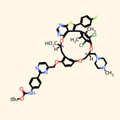 Cc1c(Cl)c2c(Cl)c(C)c1-c1c(-c3ccc(F)cc3)sc3ncnc(c13)O[C@@H](C(=O)O)Cc1cc(ccc1OCc1ccnc(-c3ccc(NC(=O)OC(C)(C)C)cc3)n1)OC[C@@H](CN1CCN(C)CC1)O2